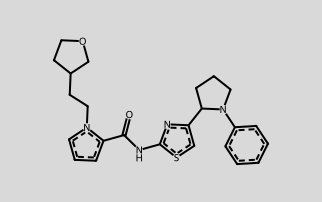 O=C(Nc1nc(C2CCCN2c2ccccc2)cs1)c1cccn1CCC1CCOC1